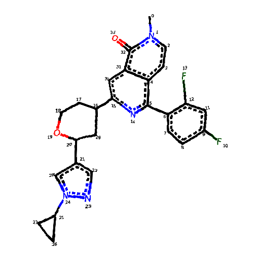 Cn1ccc2c(-c3ccc(F)cc3F)nc(C3CCOC(c4cnn(C5CC5)c4)C3)cc2c1=O